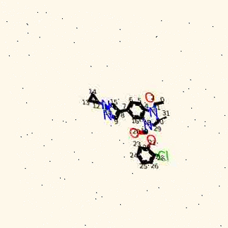 CC(=O)N1c2ccc(-c3cnn(C4CC4)c3)cc2N(C(=O)Oc2ccccc2Cl)C[C@@H]1C